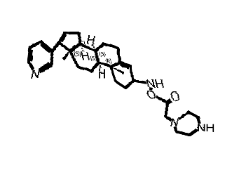 C[C@]12CCC(NOC(=O)CN3CCNCC3)C=C1CC[C@H]1[C@@H]2CC[C@]2(C)C(c3cccnc3)=CC[C@@H]12